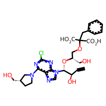 C#C[C@@H](O)[C@@H](O[C@@H](CO)COC(Cc1ccccc1)(C(=O)O)C(=O)O)n1cnc2c(N3CC[C@H](CO)C3)nc(Cl)nc21